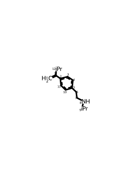 C=C(c1ccc(CCNC(C)C)cc1)C(C)C